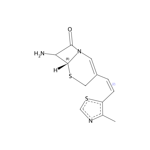 Cc1ncsc1/C=C\C1=CN2C(=O)C(N)[C@H]2SC1